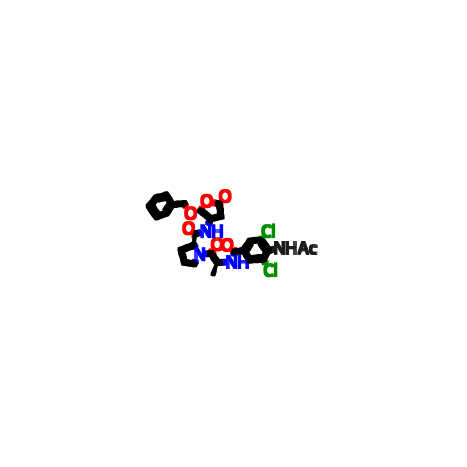 CC(=O)Nc1c(Cl)cc(C(=O)N[C@@H](C)C(=O)N2CCC[C@H]2C(=O)NC2CC(=O)O[C@H]2OCc2ccccc2)cc1Cl